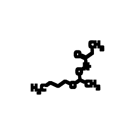 CCCCOC(C)O[N]C(=O)CC